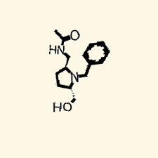 CC(=O)NC[C@@H]1CC[C@@H](CO)N1Cc1ccccc1